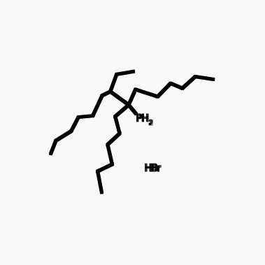 Br.CCCCCCC(CC)C(P)(CCCCCC)CCCCCC